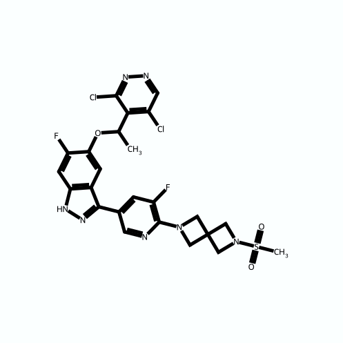 CC(Oc1cc2c(-c3cnc(N4CC5(C4)CN(S(C)(=O)=O)C5)c(F)c3)n[nH]c2cc1F)c1c(Cl)cnnc1Cl